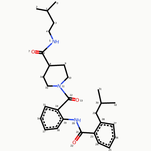 CC(C)CCNC(=O)C1CCN(C(=O)c2ccccc2NC(=O)c2ccccc2CC(C)C)CC1